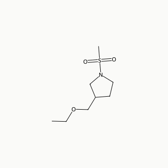 CCOCC1CCN(S(C)(=O)=O)C1